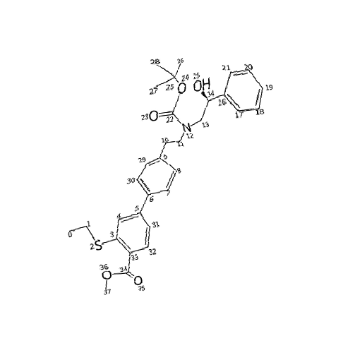 CCSc1cc(-c2ccc(CCN(C[C@@H](O)c3ccccc3)C(=O)OC(C)(C)C)cc2)ccc1C(=O)OC